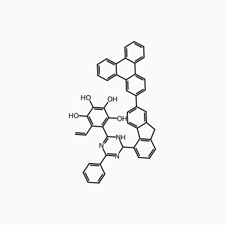 C=Cc1c(O)c(O)c(O)c(O)c1C1=NC(c2ccccc2)=NC(c2cccc3c2-c2ccc(-c4ccc5c6ccccc6c6ccccc6c5c4)cc2C3)N1